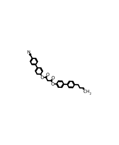 C=CCCc1ccc(-c2ccc(OC(=O)CC(=O)OC3C=CC(c4ccc(C#N)cc4)=CC3)cc2)cc1